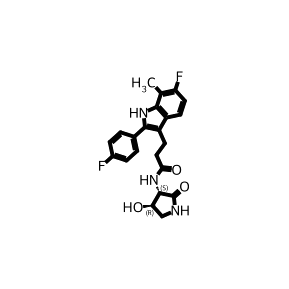 Cc1c(F)ccc2c(CCC(=O)N[C@@H]3C(=O)NC[C@H]3O)c(-c3ccc(F)cc3)[nH]c12